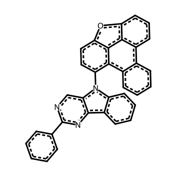 c1ccc(-c2ncc3c(n2)c2ccccc2n3-c2ccc3oc4cccc5c6ccccc6c2c3c45)cc1